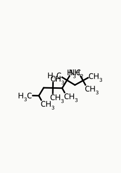 CC(C)CC(C)(C)C(C)C(C)(N)CC(C)(C)C